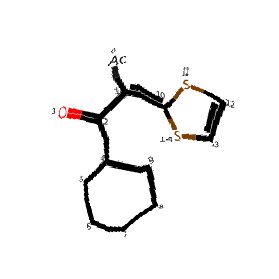 CC(=O)C(C(=O)C1CCCCC1)=C1SC=CS1